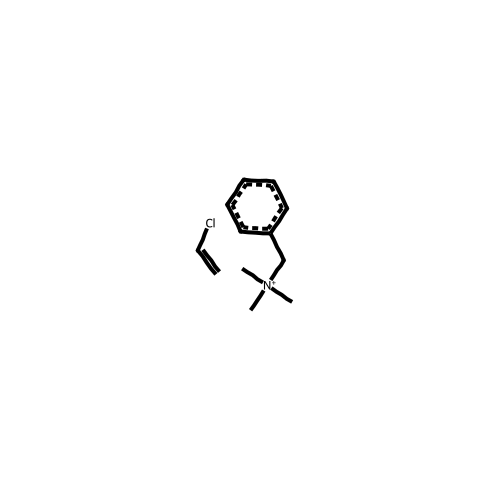 C=CCl.C[N+](C)(C)Cc1ccccc1